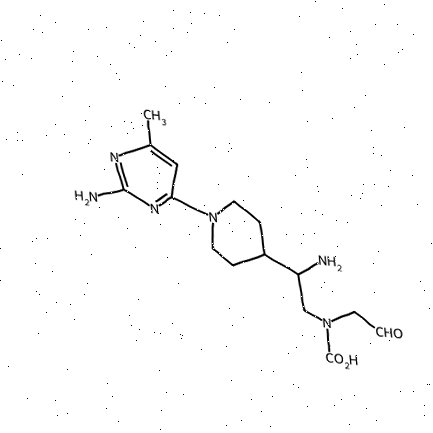 Cc1cc(N2CCC(C(N)CN(CC=O)C(=O)O)CC2)nc(N)n1